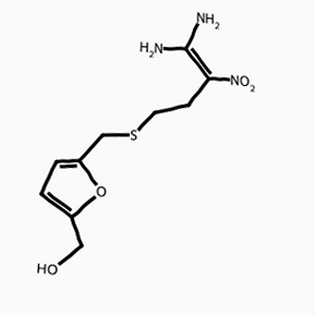 NC(N)=C(CCSCc1ccc(CO)o1)[N+](=O)[O-]